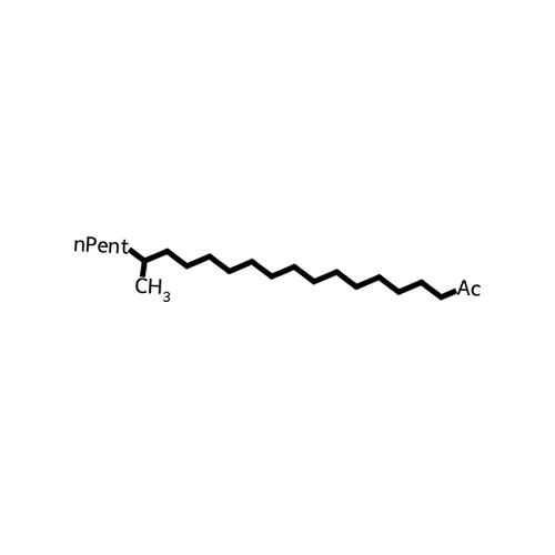 CCCCCC(C)CCCCCCCCCCCCCCC(C)=O